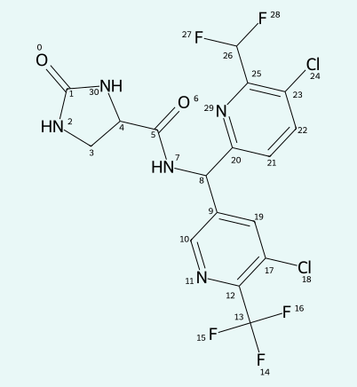 O=C1NCC(C(=O)NC(c2cnc(C(F)(F)F)c(Cl)c2)c2ccc(Cl)c(C(F)F)n2)N1